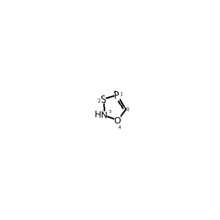 C1=PSNO1